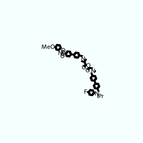 COc1cccc(N(C)S(=O)(=O)c2ccc(-c3ccc(CN4CC(C(=O)OC(=O)CN(C)Cc5ccc(-c6ccc(CN(c7ccc(F)cc7)C(C)C)cc6)cc5)C4)cc3)cc2)c1